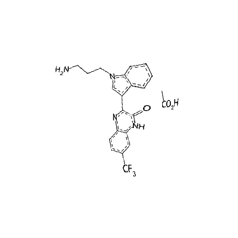 CC(=O)O.NCCCn1cc(-c2nc3ccc(C(F)(F)F)cc3[nH]c2=O)c2ccccc21